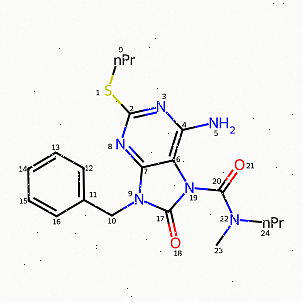 CCCSc1nc(N)c2c(n1)n(Cc1ccccc1)c(=O)n2C(=O)N(C)CCC